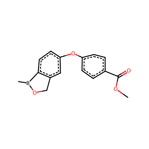 COC(=O)c1ccc(Oc2ccc3c(c2)COB3C)cc1